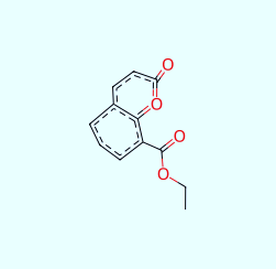 CCOC(=O)c1cccc2ccc(=O)oc12